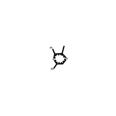 Cc1ncc(C(C)C)nc1C(C)C